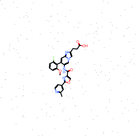 COc1cccc(F)c1-c1cc2nc(CCC(=O)O)cn2cc1NC(=O)c1coc(-c2ccnc(C)c2)n1